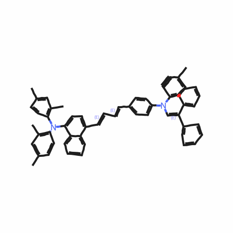 Cc1c#cc(N(/C=C(\C2=CC=CCC2)c2ccccc2)c2ccc(/C=C/C=C/c3ccc(N(c4ccc(C)cc4C)c4ccc(C)cc4C)c4ccccc34)cc2)cc1